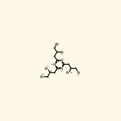 BrCC(Br)Cc1nc(CC(Br)CBr)nc(CC(Br)CBr)n1